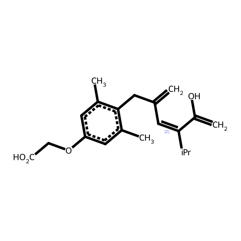 C=C(/C=C(\C(=C)O)C(C)C)Cc1c(C)cc(OCC(=O)O)cc1C